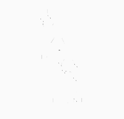 CC(C)(CF)NC1CCN(c2ncc(-c3ccc(-c4cn[nH]c4)cc3O)nn2)C1